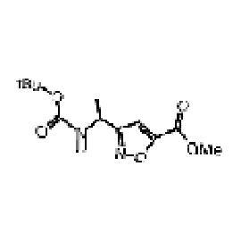 COC(=O)c1cc(C(C)NC(=O)OC(C)(C)C)no1